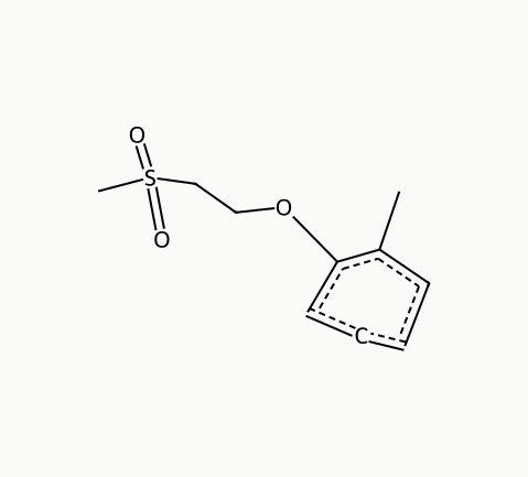 Cc1ccccc1OCCS(C)(=O)=O